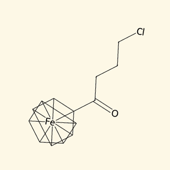 O=C(CCCCl)[C]12[CH]3[CH]4[CH]5[CH]1[Fe]45321678[CH]2[CH]1[CH]6[CH]7[CH]28